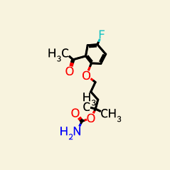 CC(=O)c1cc(F)ccc1OCCCC(C)(C)OC(N)=O